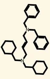 C(=CCN(CC1CCCCC1)CC1CCCCC1)CN(Cc1ccccc1)Cc1ccccc1